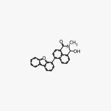 CN1C(=O)c2ccc(-c3cccc4c3oc3ccccc34)c3cccc(c23)C1O